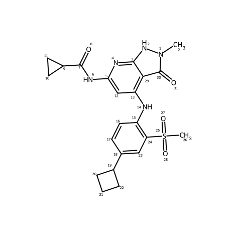 Cn1[nH]c2nc(NC(=O)C3CC3)cc(Nc3ccc(C4CCC4)cc3S(C)(=O)=O)c2c1=O